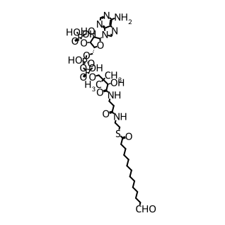 CC(C)(COP(=O)(O)OP(=O)(O)OC[C@H]1O[C@@H](n2cnc3c(N)ncnc32)[C@H](O)[C@@H]1OP(=O)(O)O)[C@@H](O)C(=O)NCCC(=O)NCCSC(=O)CCCCCCCCCCCCC=O